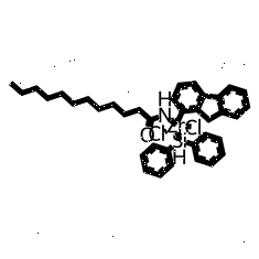 CCCCCCCCCCCC(=O)[NH][Zr]([Cl])([Cl])([c]1cccc2c1Cc1ccccc1-2)[SiH](c1ccccc1)c1ccccc1